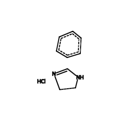 C1=NCCN1.Cl.c1ccccc1